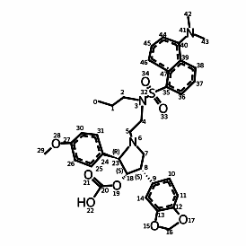 CCCN(CCN1C[C@H](c2ccc3c(c2)OCO3)[C@H](OC(=O)O)[C@H]1c1ccc(OC)cc1)S(=O)(=O)c1cccc2c(N(C)C)cccc12